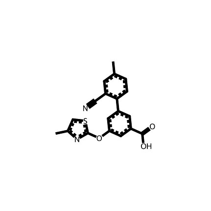 Cc1ccc(-c2cc(Oc3nc(C)cs3)cc(C(=O)O)c2)c(C#N)c1